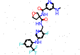 CNc1cncc(C(=O)NC2(C(=O)NCc3ncc(Nc4ccc(F)cc4C(F)(F)F)cc3F)CCOC2)c1